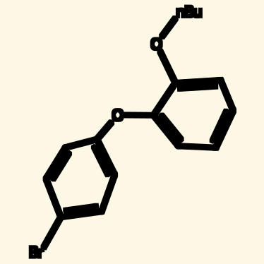 CCCCOc1ccccc1Oc1ccc(Br)cc1